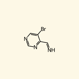 N=Cc1ncncc1Br